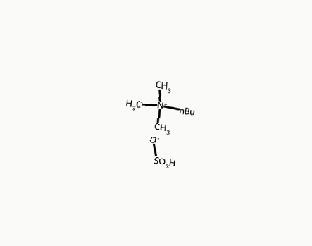 CCCC[N+](C)(C)C.O=S(=O)([O-])O